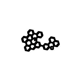 c1ccc(-c2ccccc2N(c2cccc(-c3ccc4c(c3)-c3cccc5cccc(c35)O4)c2)c2ccccc2-c2cccc3cccc(-c4ccccc4)c23)cc1